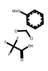 COc1ccccc1.ClCCl.O=C(O)C(F)(F)F